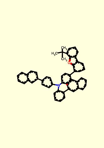 CC(C)(C)c1cccc2c1oc1c(-c3ccc(N(c4ccc(-c5ccc6ccccc6c5)cc4)c4ccccc4-c4ccc5ccccc5c4)cc3)cccc12